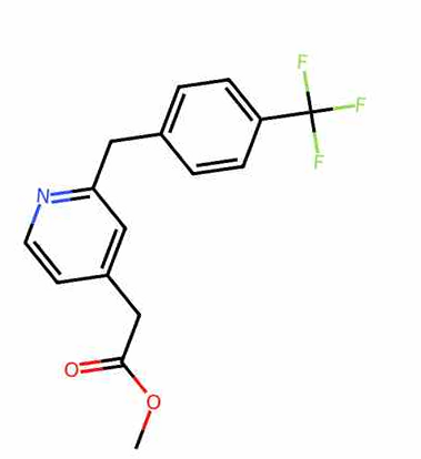 COC(=O)Cc1ccnc(Cc2ccc(C(F)(F)F)cc2)c1